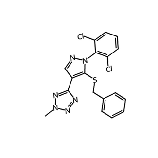 Cn1nnc(-c2cnn(-c3c(Cl)cccc3Cl)c2SCc2ccccc2)n1